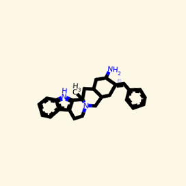 CC12CC3CC(N)/C(=C/c4ccccc4)CC3CN1CCc1c2[nH]c2ccccc12